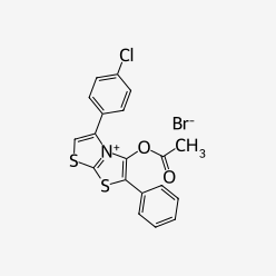 CC(=O)Oc1c(-c2ccccc2)sc2scc(-c3ccc(Cl)cc3)[n+]12.[Br-]